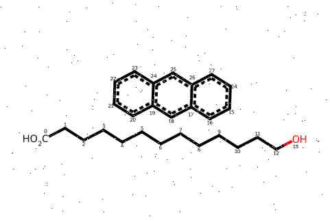 O=C(O)CCCCCCCCCCCCO.c1ccc2cc3ccccc3cc2c1